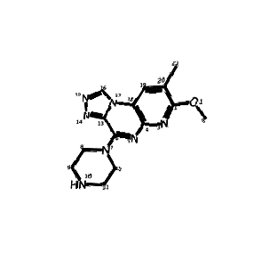 COc1nc2nc(N3CCNCC3)c3nncn3c2cc1C